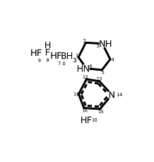 B.C1CNCCN1.F.F.F.F.c1ccncc1